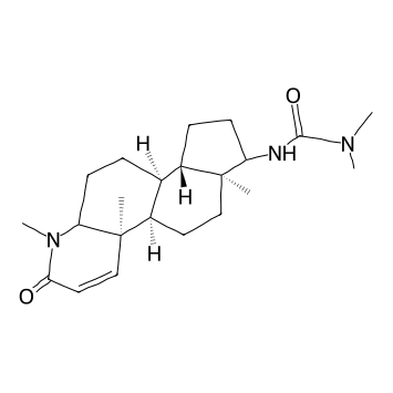 CN(C)C(=O)NC1CC[C@H]2[C@@H]3CCC4N(C)C(=O)C=C[C@]4(C)[C@@H]3CC[C@]12C